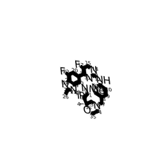 CNCC[C@@]1(C)CN(Cc2ccc(Nc3ncc(F)c(-c4cc(F)c5nc(C)n(C(C)C)c5c4)n3)nc2)CCO1